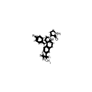 CC(F)(c1ccc2c(c1)CC[C@H]1N(C3CCNC3=O)CC[C@@]21Cc1ccc(F)cc1)C(F)(F)F